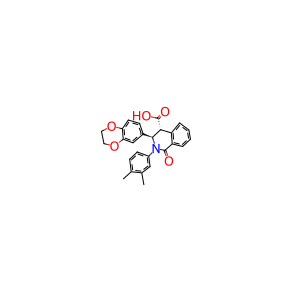 Cc1ccc(N2C(=O)c3ccccc3[C@@H](C(=O)O)[C@@H]2c2ccc3c(c2)OCCO3)cc1C